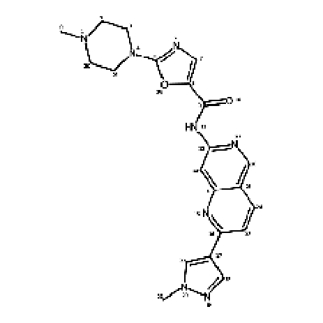 CN1CCN(c2ncc(C(=O)Nc3cc4nc(-c5cnn(C)c5)ccc4cn3)o2)CC1